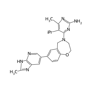 Cc1nc2cc(-c3ccc4c(c3)CN(c3nc(N)nc(C)c3C(C)C)CCO4)cnc2[nH]1